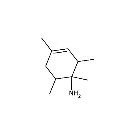 CC1=CC(C)C(C)(N)C(C)C1